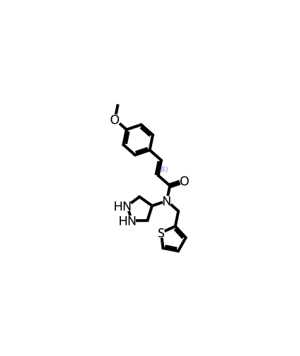 COc1ccc(/C=C/C(=O)N(Cc2cccs2)C2CNNC2)cc1